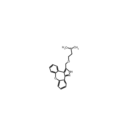 CN(C)CCOCc1[nH]nc2c1-c1ccccc1Oc1ccccc1-2